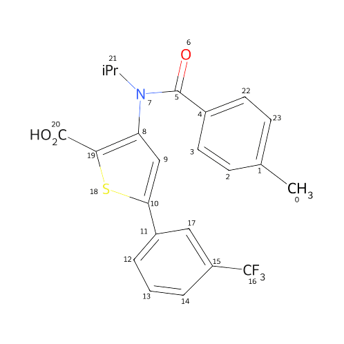 Cc1ccc(C(=O)N(c2cc(-c3cccc(C(F)(F)F)c3)sc2C(=O)O)C(C)C)cc1